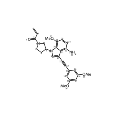 C=CC(=O)N1CCC(n2nc(C#Cc3cc(OC)cc(OC)c3)c3c(N)ncc(OC)c32)C1